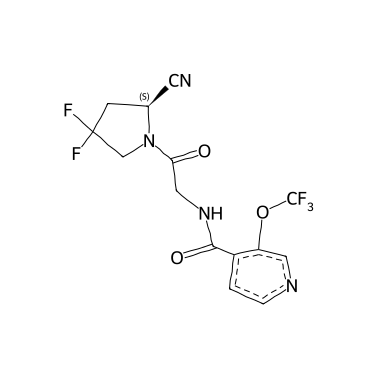 N#C[C@@H]1CC(F)(F)CN1C(=O)CNC(=O)c1ccncc1OC(F)(F)F